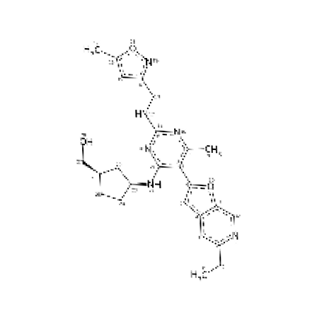 CCc1cc2cc(-c3c(C)nc(NCc4cc(C)on4)nc3N[C@H]3CC[C@@H](CO)C3)oc2cn1